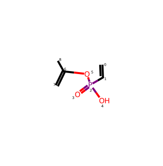 C=CP(=O)(O)OC(=C)C